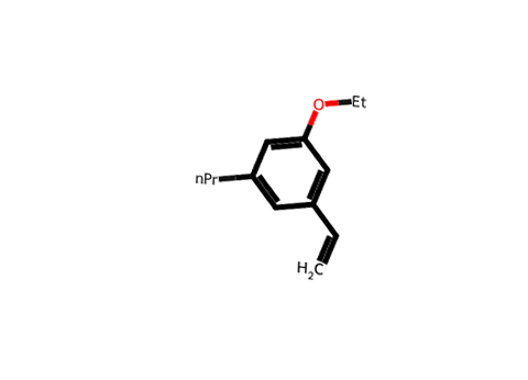 C=Cc1cc(CCC)cc(OCC)c1